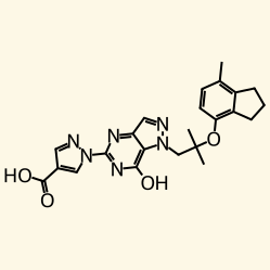 Cc1ccc(OC(C)(C)Cn2ncc3nc(-n4cc(C(=O)O)cn4)nc(O)c32)c2c1CCC2